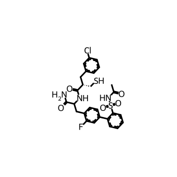 CC(=O)NS(=O)(=O)c1ccccc1-c1ccc(CC(NC(=O)[C@@H](CS)Cc2cccc(Cl)c2)C(N)=O)c(F)c1